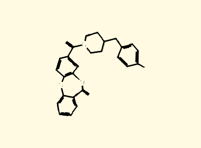 O=C1Nc2cc(C(=O)N3CCC(Cc4ccc(F)cc4)CC3)ccc2Nc2ccccc21